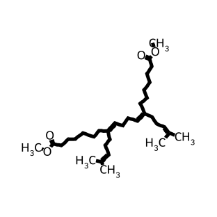 COC(=O)CCCCCC/C(=C/CC/C=C(/CCC=C(C)C)CCCCCCC(=O)OC)CCC=C(C)C